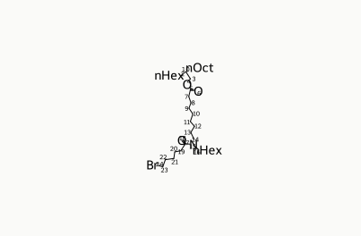 CCCCCCCCC(CCCCCC)COC(=O)CCCCCCCCN(CCCCCC)C(=O)CCCCCBr